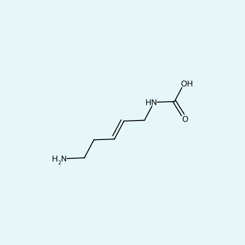 NCCC=CCNC(=O)O